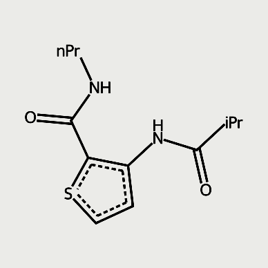 CCCNC(=O)c1sccc1NC(=O)C(C)C